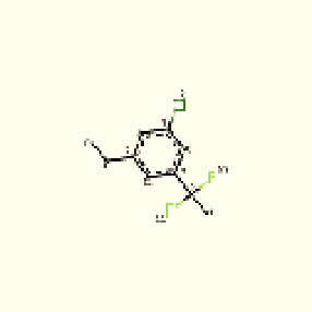 CCc1cc(Cl)cc(C(C)(F)F)c1